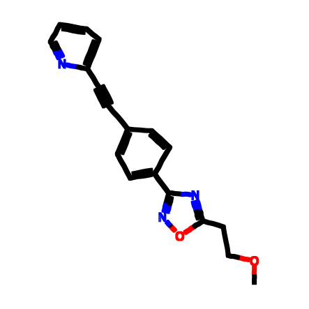 COCCc1nc(-c2ccc(C#Cc3ccccn3)cc2)no1